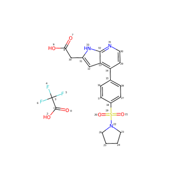 O=C(O)C(F)(F)F.O=C(O)Cc1cc2c(-c3ccc(S(=O)(=O)N4CCCC4)cc3)ccnc2[nH]1